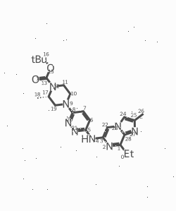 CCc1nc(Nc2ccc(N3CCN(C(=O)OC(C)(C)C)[C@@H](C)C3)nn2)cn2cc(C)nc12